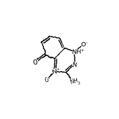 NC1=N[NH+]([O-])C2=CC=CC(=O)C2=[N+]1[O-]